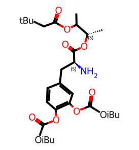 CC(C)COC(=O)Oc1ccc(C[C@H](N)C(=O)O[C@@H](C)C(C)OC(=O)CC(C)(C)C)cc1OC(=O)OCC(C)C